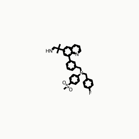 CC(C)(C=N)c1cc(-c2cccc(CN(Cc3ccc(F)cc3)c3ccc(S(C)(=O)=O)cc3)c2)c2ncccc2c1